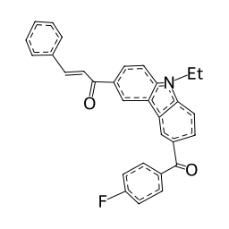 CCn1c2ccc(C(=O)/C=C/c3ccccc3)cc2c2cc(C(=O)c3ccc(F)cc3)ccc21